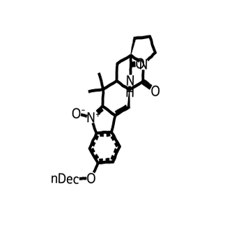 CCCCCCCCCCOc1ccc2c(c1)[N+]([O-])=C1C2=C[C@@]23NC(=O)[C@]4(CCCN4C2=O)CC3C1(C)C